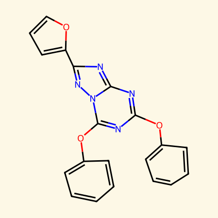 c1ccc(Oc2nc(Oc3ccccc3)n3nc(-c4ccco4)nc3n2)cc1